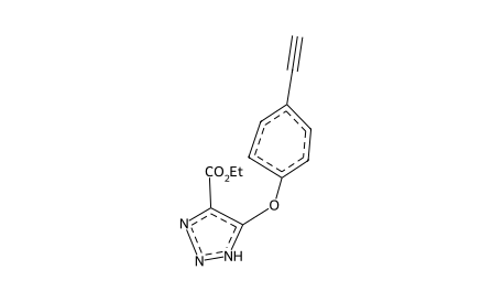 C#Cc1ccc(Oc2[nH]nnc2C(=O)OCC)cc1